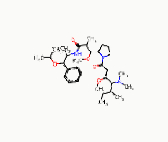 CCC(C)C(C(CC(=O)N1CCCC1C(OC)C(C)C(=O)NC(C)C(OC(C)C)c1ccccc1)OC)N(C)C